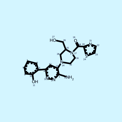 Nc1nnc(-c2ccccc2O)cc1N1CCN(C(=O)c2nccs2)C(CO)C1